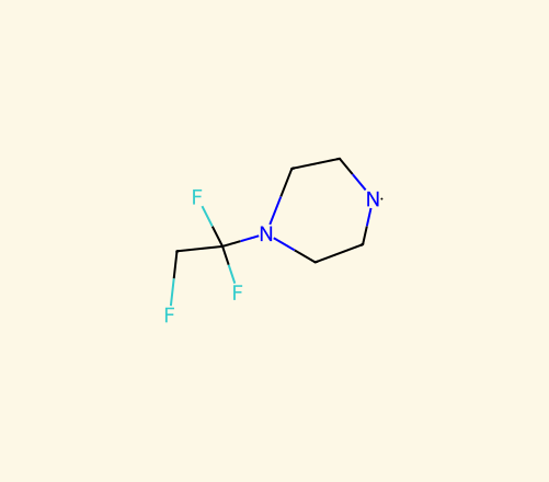 FCC(F)(F)N1CC[N]CC1